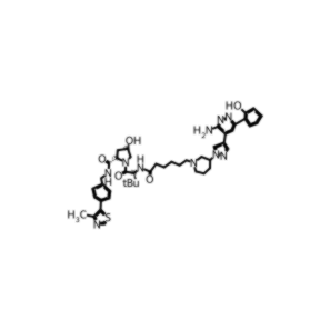 Cc1ncsc1-c1ccc(CNC(=O)[C@@H]2C[C@@H](O)CN2C(=O)[C@@H](NC(=O)CCCCCN2CCCC(n3cc(-c4cc(-c5ccccc5O)nnc4N)cn3)C2)C(C)(C)C)cc1